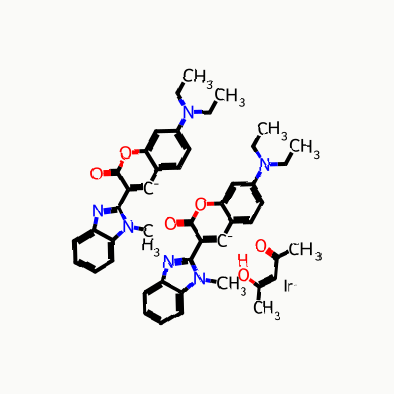 CC(=O)/C=C(/C)O.CCN(CC)c1ccc2[c-]c(-c3nc4ccccc4n3C)c(=O)oc2c1.CCN(CC)c1ccc2[c-]c(-c3nc4ccccc4n3C)c(=O)oc2c1.[Ir]